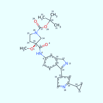 CO[C@@]1(C(=O)Nc2ccc3c(c2)CN=C3c2ccnc(C3CC3)c2)CCN(C(=O)OC(C)(C)C)C1